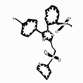 CS(=O)(=O)c1ccccc1-c1sc(CS(=O)(=O)c2cccs2)nc1-c1ccc(F)cc1